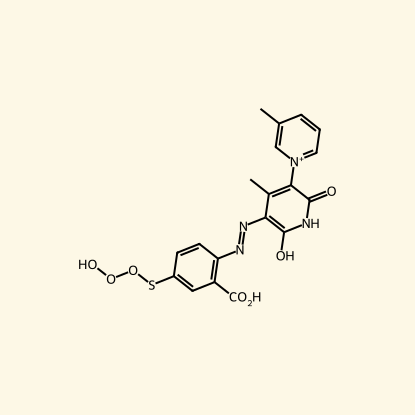 Cc1ccc[n+](-c2c(C)c(N=Nc3ccc(SOOO)cc3C(=O)O)c(O)[nH]c2=O)c1